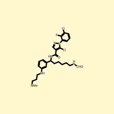 CNCCCNc1cccc(C(CCCCCNC=O)NC(=O)c2cnn(-c3cccc(Cl)c3F)c2Cl)c1